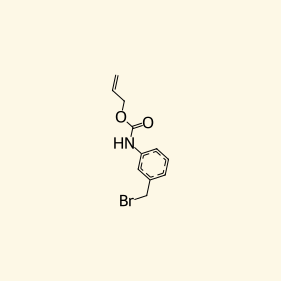 C=CCOC(=O)Nc1cccc(CBr)c1